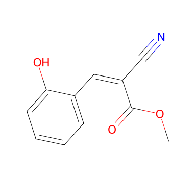 COC(=O)C(C#N)=Cc1ccccc1O